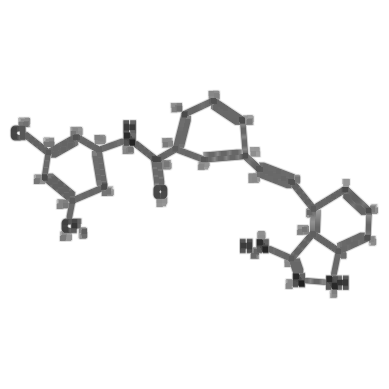 Nc1n[nH]c2cccc(C#Cc3cccc(C(=O)Nc4cc(Cl)cc(C(F)(F)F)c4)c3)c12